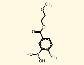 COCCOC(=O)c1ccc(N)c(B(O)O)c1